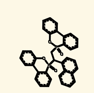 O=P1(CC(c2cccc3ccccc23)P2(=O)Oc3ccccc3-c3ccccc32)Oc2ccccc2-c2ccccc21